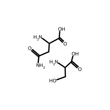 NC(=O)CC(N)C(=O)O.NC(CO)C(=O)O